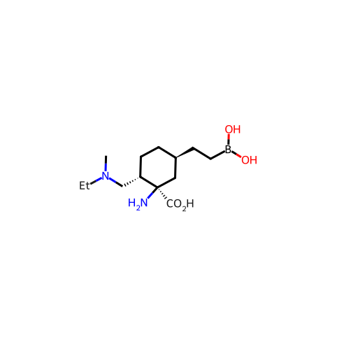 CCN(C)C[C@@H]1CC[C@@H](CCB(O)O)C[C@]1(N)C(=O)O